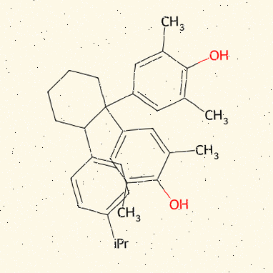 Cc1cc(C2(c3cc(C)c(O)c(C)c3)CCCCC2c2ccc(C(C)C)cc2)cc(C)c1O